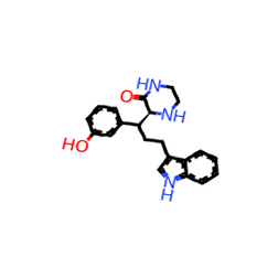 O=C1NCCN[C@H]1C(CCc1c[nH]c2ccccc12)c1cccc(O)c1